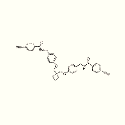 N#Cc1ccc(C(=O)NCc2ccc(OCC3(COc4ccc(CNC(=O)c5ccc(C#N)cc5)cc4)CCC3)cc2)cc1